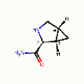 NC(=O)[C@H]1NC[C@@H]2C[C@@H]21